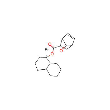 CCC1(OC(=O)C2CC3C=CC2C3=O)CCCC2CCCCC21